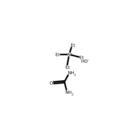 CC[N+](CC)(CC)CC.NC(N)=O.[OH-]